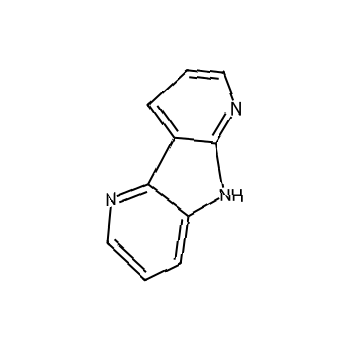 c1cnc2c(c1)[nH]c1ncccc12